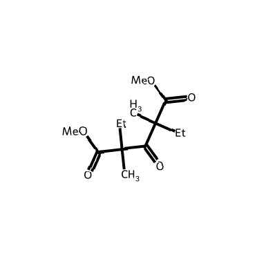 CCC(C)(C(=O)OC)C(=O)C(C)(CC)C(=O)OC